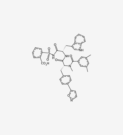 Cc1cc(C)cc(C(=O)N(C)[C@H](Cc2ccc(-c3ccno3)cc2)C(=O)N[C@@H](Cc2c[nH]c3ccccc23)C(=O)NS(=O)(=O)c2ccccc2C(=O)O)c1